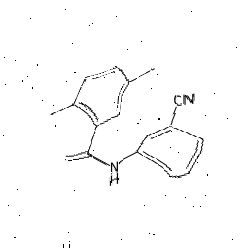 C=C(Nc1cccc(C#N)c1)c1cc(C)ccc1C